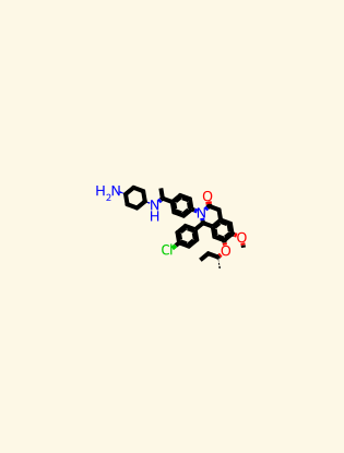 CC[C@@H](C)Oc1cc2c(cc1OC)CC(=O)N(c1ccc(C(C)N[C@H]3CC[C@@H](N)CC3)cc1)C2c1ccc(Cl)cc1